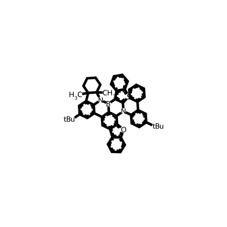 CC(C)(C)c1ccc(N2c3sc4ccccc4c3B3c4c(cc5c(oc6ccccc65)c42)-c2cc(C(C)(C)C)cc4c2N3C2(C)CCCCC42C)c(-c2ccccc2)c1